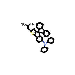 N#CC(C#N)=Cc1cc2c(s1)-c1ccc(N(c3ccccc3)c3ccccc3)cc1C21c2ccccc2-c2ccccc21